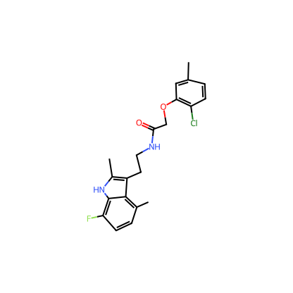 Cc1ccc(Cl)c(OCC(=O)NCCc2c(C)[nH]c3c(F)ccc(C)c23)c1